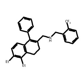 CCc1ccc2c(c1CC)CCC(CNCc1ccccc1C(F)(F)F)=C2c1ccccc1